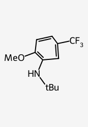 COc1ccc(C(F)(F)F)cc1NC(C)(C)C